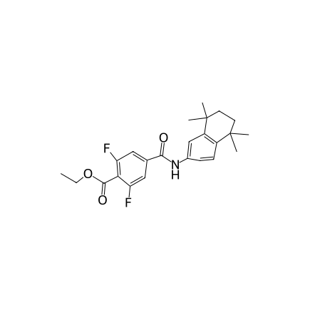 CCOC(=O)c1c(F)cc(C(=O)Nc2ccc3c(c2)C(C)(C)CCC3(C)C)cc1F